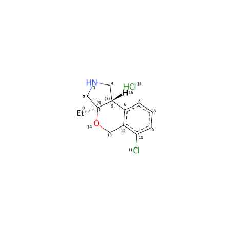 CC[C@]12CNC[C@@H]1c1cccc(Cl)c1CO2.Cl